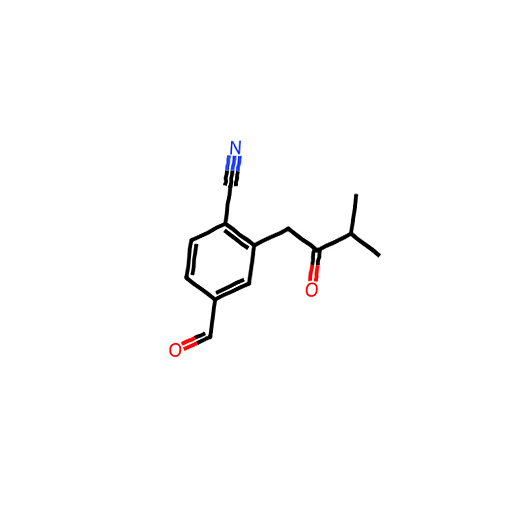 CC(C)C(=O)Cc1cc(C=O)ccc1C#N